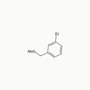 CCc1cccc(CSC)c1